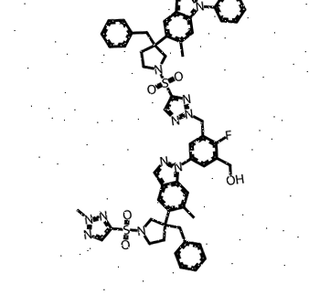 Cc1cc2c(cnn2-c2cc(CO)c(F)c(Cn3ncc(S(=O)(=O)N4CCC(Cc5ccccc5)(c5cc6cnn(-c7cccc(C#N)c7)c6cc5C)C4)n3)c2)cc1C1(Cc2ccccc2)CCN(S(=O)(=O)c2cnn(C)n2)C1